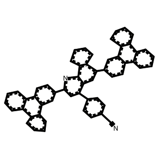 N#Cc1ccc(-c2cc(-c3ccc4c5ccccc5c5ccccc5c4c3)nc3c2cc(-c2ccc4c5ccccc5c5ccccc5c4c2)c2ccccc23)cc1